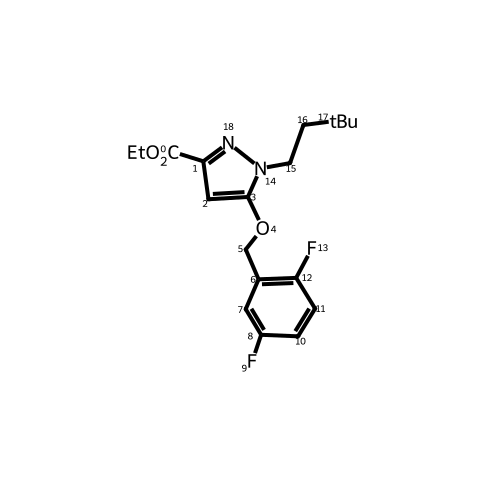 CCOC(=O)c1cc(OCc2cc(F)ccc2F)n(CCC(C)(C)C)n1